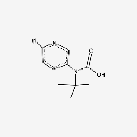 CC(C)(C)N(C(=O)O)c1ccc(Cl)nc1